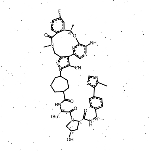 Cc1ncsc1-c1ccc([C@H](C)NC(=O)[C@@H]2C[C@@H](O)CN2C(=O)[C@@H](NC(=O)C2CCCC(n3nc4c(c3C#N)-c3cnc(N)c(n3)O[C@H](C)c3cc(F)ccc3C(=O)N(C)C4)CC2)C(C)(C)C)cc1